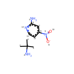 CC(C)(C)N.Nc1cc([N+](=O)[O-])ccn1